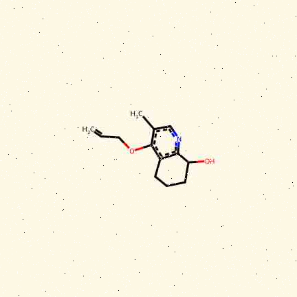 C=CCOc1c(C)cnc2c1CCCC2O